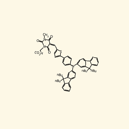 CCCCC1(CCCC)c2ccccc2-c2ccc(N(c3ccc(-c4ccc(/C=C5/C(=O)N(C)C(=O)N(CC(=O)O)C5=O)s4)cc3)c3ccc4c(c3)C(CCCC)(CCCC)c3ccccc3-4)cc21